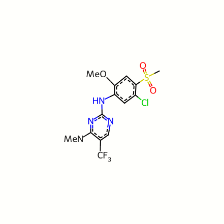 CNc1nc(Nc2cc(Cl)c(S(C)(=O)=O)cc2OC)ncc1C(F)(F)F